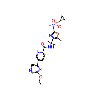 CCOc1cncc(-c2ccc(C(=O)NC(C)(C)c3nc(NS(=O)(=O)C4CC4)sc3C)nc2)n1